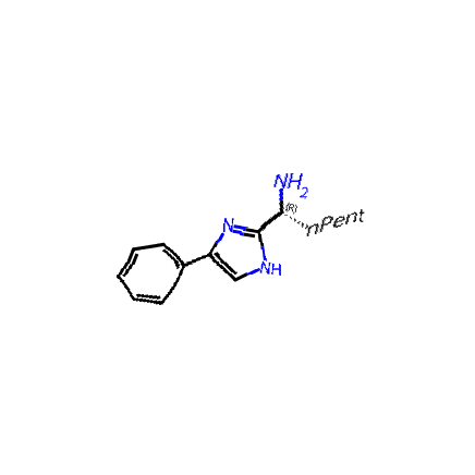 CCCCC[C@@H](N)c1nc(-c2ccccc2)c[nH]1